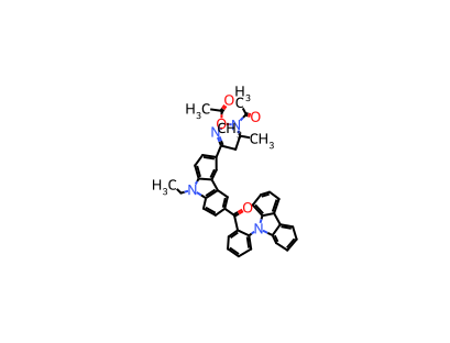 CCn1c2ccc(C(=O)c3ccccc3-n3c4ccccc4c4ccccc43)cc2c2cc(/C(CC(C)N(OC(C)=O)C(C)=O)=N/C)ccc21